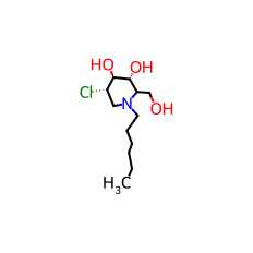 CCCCCCN1C[C@H](Cl)[C@@H](O)[C@H](O)C1CO